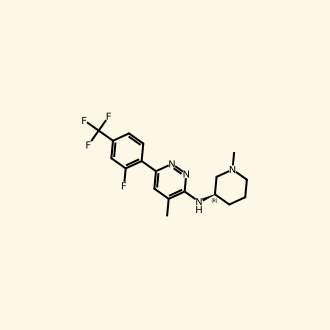 Cc1cc(-c2ccc(C(F)(F)F)cc2F)nnc1N[C@@H]1CCCN(C)C1